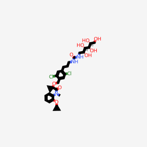 CN(C(=O)C1(OCc2cc(Cl)c(CCCNC(=O)NC[C@H](O)[C@@H](O)[C@H](O)[C@H](O)CO)cc2Cl)CC1)c1ccccc1OC1CC1